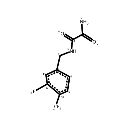 NC(=O)C(=O)NCc1ccc(C(F)(F)F)c(F)c1